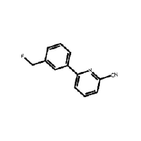 N#Cc1cccc(-c2cccc(CF)c2)n1